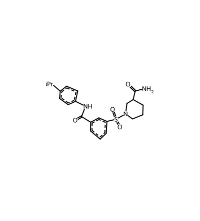 CC(C)c1ccc(NC(=O)c2cccc(S(=O)(=O)N3CCCC(C(N)=O)C3)c2)cc1